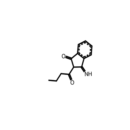 CCCC(=O)C1C(=N)c2ccccc2C1=O